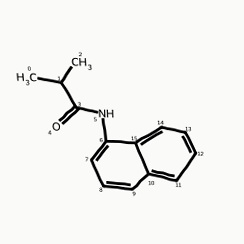 CC(C)C(=O)Nc1cccc2ccccc12